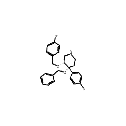 Fc1ccc([C@]2(OCc3ccccc3)CCNC[C@H]2OCc2ccc(Br)cc2)cc1